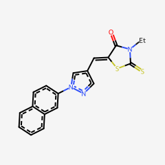 CCN1C(=O)/C(=C/c2cnn(-c3ccc4ccccc4c3)c2)SC1=S